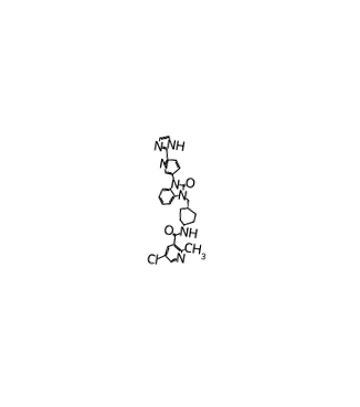 Cc1ncc(Cl)cc1C(=O)N[C@H]1CC[C@H](Cn2c(=O)n(-c3ccc(-c4ncc[nH]4)nc3)c3ccccc32)CC1